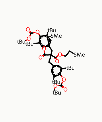 CSCCOC(=O)C(Cc1cc(C(C)(C)C)c(OC(=O)OC(C)(C)C)c(C(C)(C)C)c1)(Cc1cc(C(C)(C)C)c(OC(=O)OC(C)(C)C)c(C(C)(C)C)c1)C(=O)OCCSC